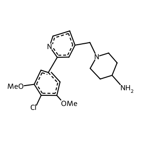 COc1cc(-c2cc(CN3CCC(N)CC3)ccn2)cc(OC)c1Cl